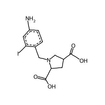 Nc1ccc(CN2CC(C(=O)O)CC2C(=O)O)c(I)c1